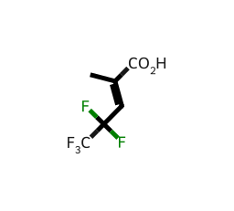 CC(=CC(F)(F)C(F)(F)F)C(=O)O